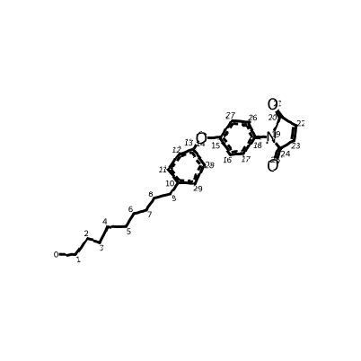 CCCCCCCCCCc1ccc(Oc2ccc(N3C(=O)C=CC3=O)cc2)cc1